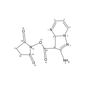 NC1=NN2C=CC=NC2C1C(=O)ON1C(=O)CCC1=O